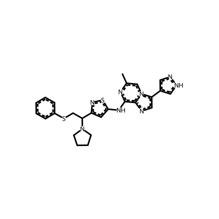 Cc1cn2c(-c3cn[nH]c3)cnc2c(Nc2cc(C(CSc3ccccc3)N3CCCC3)ns2)n1